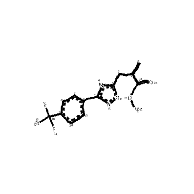 C=C(Cc1nc(-c2ccc(C(F)(F)CC)cc2)no1)C(=O)OC(C)(C)C